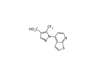 O=C(O)c1cnn(-c2ccnc3sccc23)c1C(F)(F)F